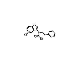 [CH2]CC(=O)N(/C=C/c1ccccc1)c1csc2ccc(Cl)cc12